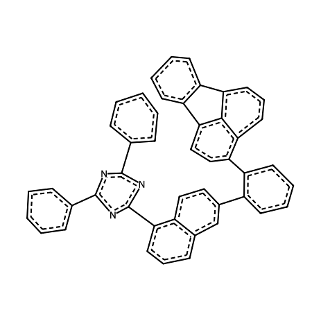 c1ccc(-c2nc(-c3ccccc3)nc(-c3cccc4cc(-c5ccccc5-c5ccc6c7c(cccc57)-c5ccccc5-6)ccc34)n2)cc1